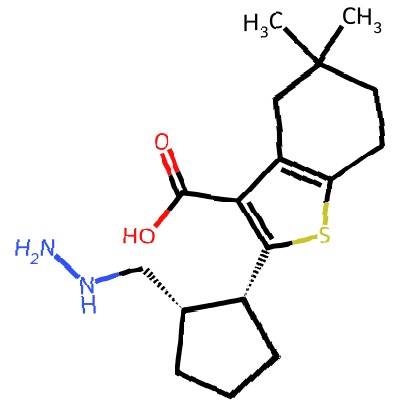 CC1(C)CCc2sc([C@@H]3CCC[C@@H]3CNN)c(C(=O)O)c2C1